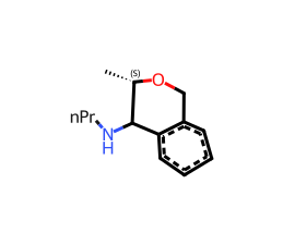 CCCNC1c2ccccc2CO[C@H]1C